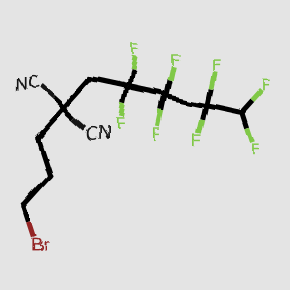 N#CC(C#N)(CCCBr)CC(F)(F)C(F)(F)C(F)(F)C(F)F